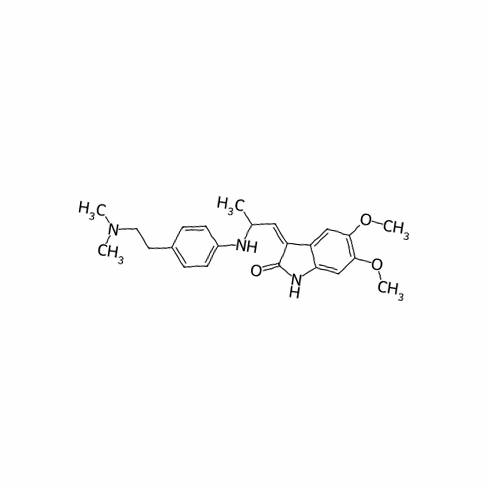 COc1cc2c(cc1OC)C(=CC(C)Nc1ccc(CCN(C)C)cc1)C(=O)N2